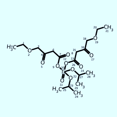 CCOCC(=O)CC(=O)[O][Ti](=[O])([O]C(=O)CC(=O)COCC)([O]C(C)C)[O]C(C)C